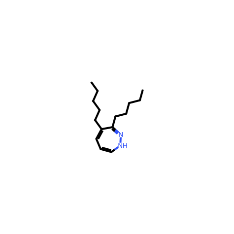 CCCCCC1=CC=CNN=C1CCCCC